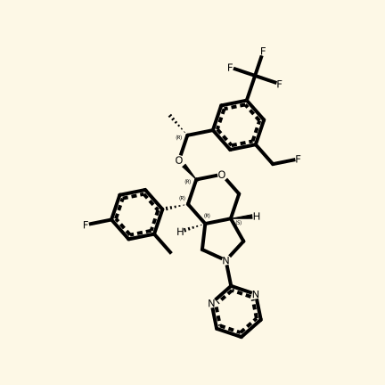 Cc1cc(F)ccc1[C@@H]1[C@@H](O[C@H](C)c2cc(CF)cc(C(F)(F)F)c2)OC[C@@H]2CN(c3ncccn3)C[C@H]21